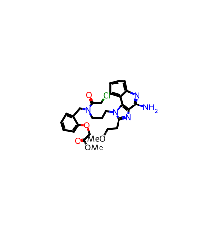 COCCc1nc2c(N)nc3ccccc3c2n1CCCN(Cc1ccccc1OCC(=O)OC)C(=O)CCl